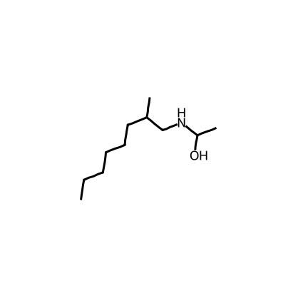 CCCCCCC(C)CNC(C)O